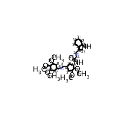 COc1cc(/C=C/c2cc(OC)c(OC)c(OC)c2)cc(NC(=O)/C=C/c2c[nH]c3ccccc23)c1OC